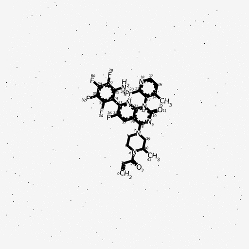 C=CC(=O)N1CCN(c2nc(=O)n(-c3c(C)ccnc3C(C)C)c3nc(-c4c(N)c(F)c(F)c(F)c4F)c(F)cc23)CC1C